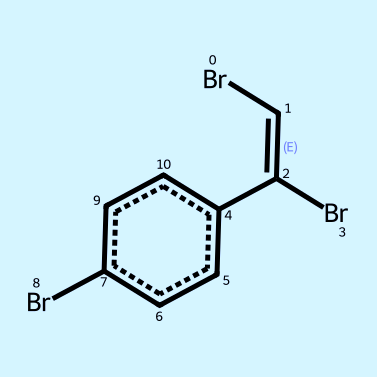 Br/C=C(/Br)c1ccc(Br)cc1